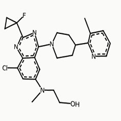 Cc1cccnc1C1CCN(c2nc(C3(F)CC3)nc3c(Cl)cc(N(C)CCO)cc23)CC1